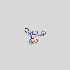 CC1(C)N=CC2=C3N=C(c4ccccc4)N=C3C(=O)C(CCCN3CCCCC3)C2C1=O